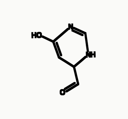 O=CC1C=C(O)N=CN1